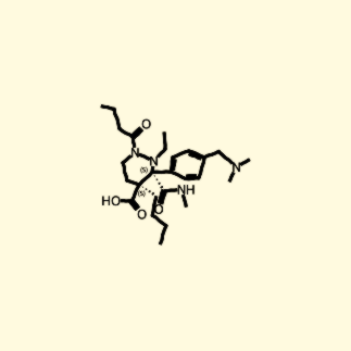 CCCC[C@]1(C(=O)O)CCN(C(=O)CCC)N(CC)[C@@]1(C(=O)NC)c1ccc(CN(C)C)cc1